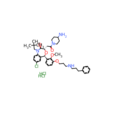 COc1c(OCCCNCCCc2ccccc2)cccc1[C@@H]1O[C@@H](CC(=O)N2CCC(N)CC2)C(=O)N(CC(C)(C)C)c2ccc(Cl)cc21.Cl.Cl